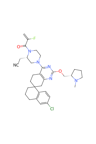 C=C(F)C(=O)N1CCN(c2nc(OC[C@@H]3CCCN3C)nc3c2CCC2(CCCc4cc(Cl)ccc42)C3)C[C@@H]1CC#N